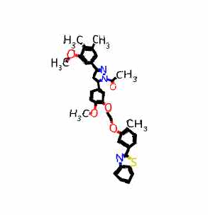 COc1ccc(C2CC(c3cc(C)c(C)c(OC)c3)=NN2C(C)=O)cc1OCCOc1cc(-c2nc3ccccc3s2)ccc1C